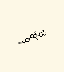 CN1C(=O)CCC(N2C(=O)c3ccc(N4CCC(CC(=O)O)CC4)cc3C2=O)C1=O